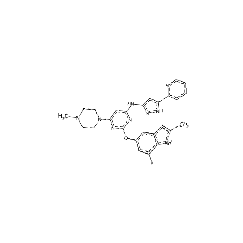 Cc1cc2cc(Oc3nc(Nc4cc(-c5ccccn5)[nH]n4)cc(N4CCN(C)CC4)n3)cc(F)c2[nH]1